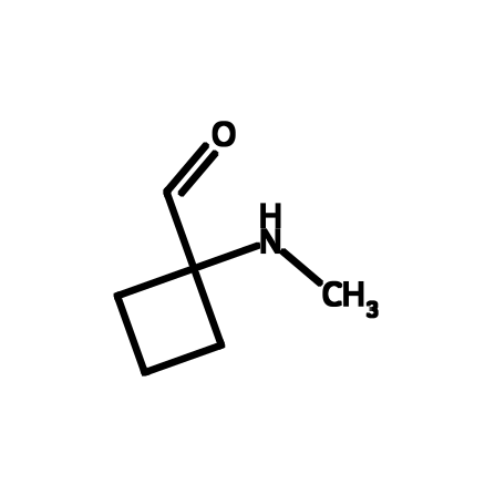 CNC1(C=O)CCC1